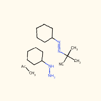 CC(C)(C#N)N=NC1CCCCC1.CC(C)=O.NNC1CCCCC1